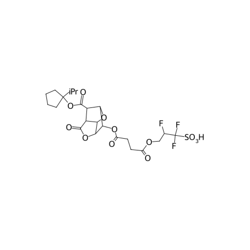 CC(C)C1(OC(=O)C2C3OC4C(OC(=O)C42)C3OC(=O)CCC(=O)OCC(F)C(F)(F)S(=O)(=O)O)CCCC1